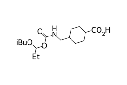 CCC(OCC(C)C)OC(=O)NCC1CCC(C(=O)O)CC1